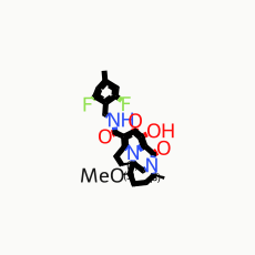 CO[C@H]1CC[C@H](C)N2C[C@]13CCc1c(C(=O)NCc4c(F)cc(C)cc4F)c(=O)c(O)c(n13)C2=O